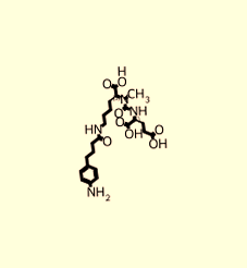 CN(C(=O)N[C@@H](CCC(=O)O)C(=O)O)[C@@H](CCCCNC(=O)CCCc1ccc(N)cc1)C(=O)O